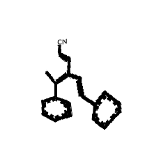 CC(=C(C=CC#N)C=Cc1ccccc1)c1ccccc1